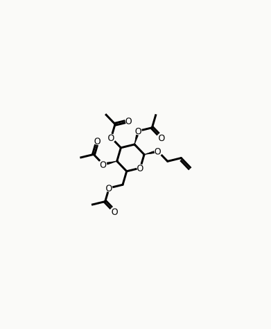 C=CCO[C@H]1OC(COC(C)=O)[C@@H](OC(C)=O)C(OC(C)=O)[C@H]1OC(C)=O